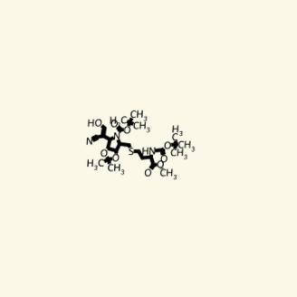 COC(=O)C(CCSCC1C2OC(C)(C)OC2C(/C(C#N)=C/O)N1C(=O)OC(C)(C)C)NC(=O)OC(C)(C)C